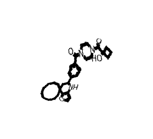 O=C(c1ccc(C2CC3(CCCCCCCCC3)c3occc3N2)cc1)N1CCN(C(=O)C2(O)CCC2)CC1